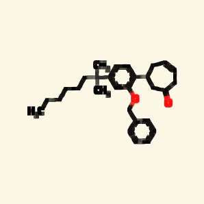 CCCCCCC(C)(C)c1ccc(C2CC=CCC(=O)C2)c(OCc2ccccc2)c1